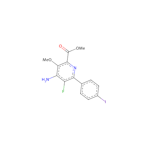 COC(=O)c1nc(-c2ccc(I)cc2)c(F)c(N)c1OC